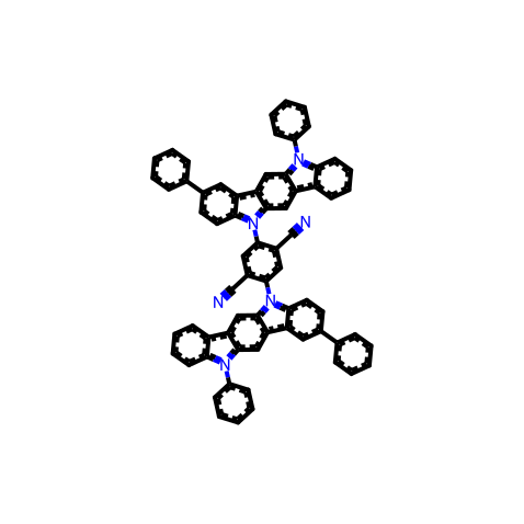 N#Cc1cc(-n2c3ccc(-c4ccccc4)cc3c3cc4c(cc32)c2ccccc2n4-c2ccccc2)c(C#N)cc1-n1c2ccc(-c3ccccc3)cc2c2cc3c(cc21)c1ccccc1n3-c1ccccc1